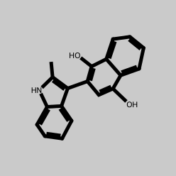 Cc1[nH]c2ccccc2c1-c1cc(O)c2ccccc2c1O